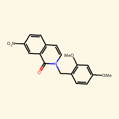 COc1ccc(Cn2ccc3ccc([N+](=O)[O-])cc3c2=O)c(OC)c1